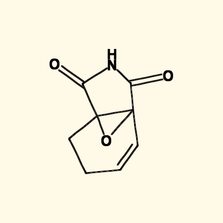 O=C1NC(=O)C23CCC=CC12O3